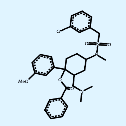 COc1cccc(C2(OC(=O)c3ccccc3)CCC(N(C)S(=O)(=O)Cc3cccc(Cl)c3)CC2CN(C)C)c1